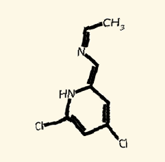 C/C=N\C=C1\C=C(Cl)C=C(Cl)N1